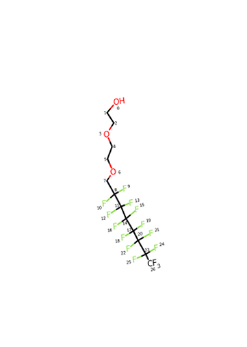 OCCOCCOCC(F)(F)C(F)(F)C(F)(F)C(F)(F)C(F)(F)C(F)(F)C(F)(F)F